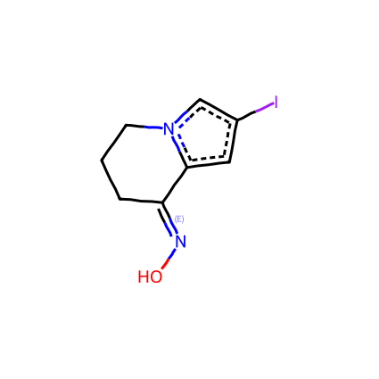 O/N=C1\CCCn2cc(I)cc21